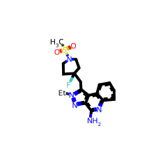 CCn1nc2c(N)nc3ccccc3c2c1CC1(F)CCN(S(C)(=O)=O)CC1